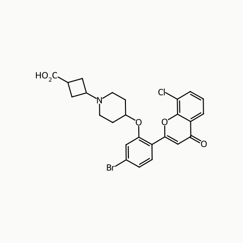 O=C(O)C1CC(N2CCC(Oc3cc(Br)ccc3-c3cc(=O)c4cccc(Cl)c4o3)CC2)C1